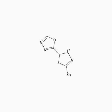 SC1=NNC(c2nnco2)S1